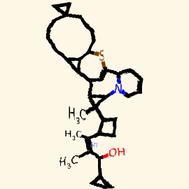 C/C(=C(\C)C1CCC1C1(C)C2C3C=C(SC4CCCC5(CCCC6C4C36)CC5)C3CC=CCN3C21)C(O)C1CC1